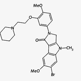 COc1cc2c3c(n(C)c2cc1Br)CN(c1ccc(OC)c(OCCN2CCCCC2)c1)C3=O